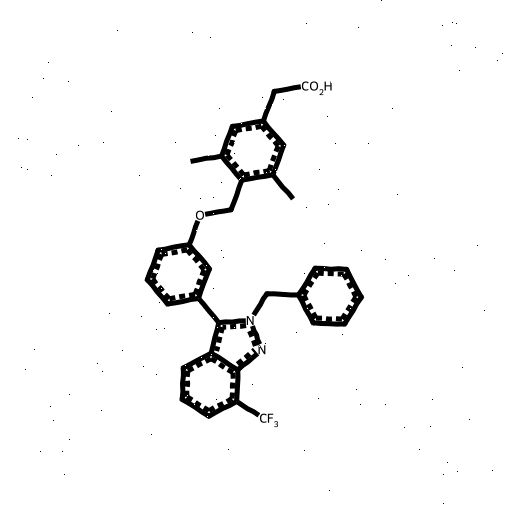 Cc1cc(CC(=O)O)cc(C)c1COc1cccc(-c2c3cccc(C(F)(F)F)c3nn2Cc2ccccc2)c1